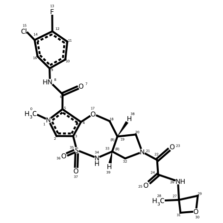 Cn1cc2c(c1C(=O)Nc1ccc(F)c(Cl)c1)OC[C@@H]1CN(C(=O)C(=O)NC3(C)COC3)C[C@@H]1NS2(=O)=O